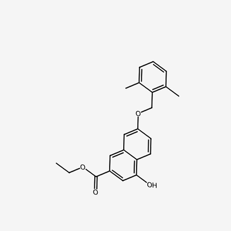 CCOC(=O)c1cc(O)c2ccc(OCc3c(C)cccc3C)cc2c1